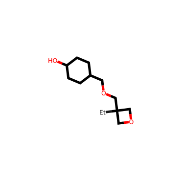 CCC1(COCC2CCC(O)CC2)COC1